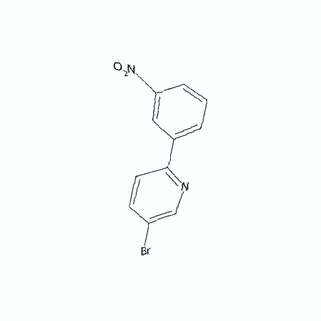 O=[N+]([O-])c1cccc(-c2ccc(Br)cn2)c1